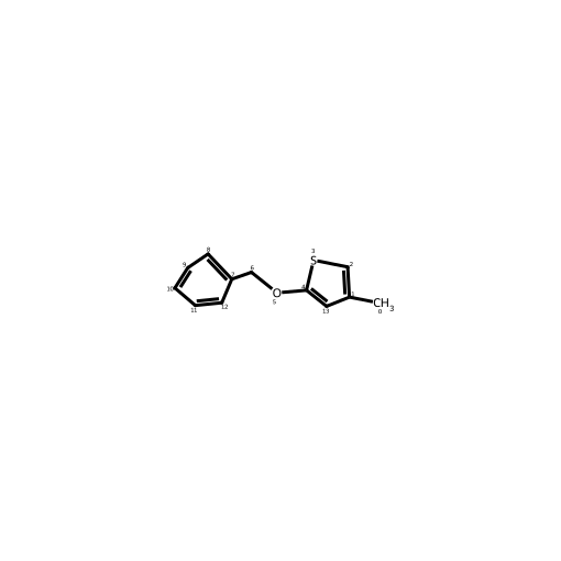 Cc1csc(OCc2ccccc2)c1